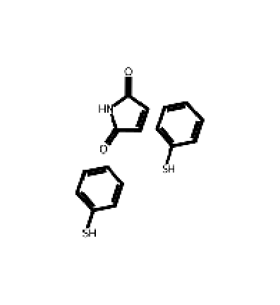 O=C1C=CC(=O)N1.Sc1ccccc1.Sc1ccccc1